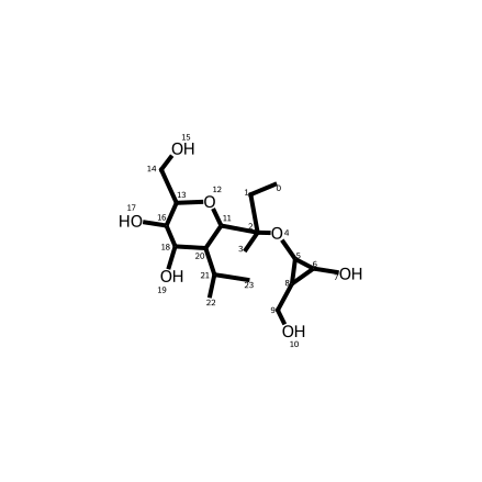 CCC(C)(OC1C(O)C1CO)C1OC(CO)C(O)C(O)C1C(C)C